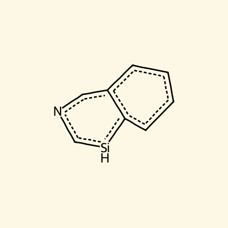 c1ccc2[siH]cncc2c1